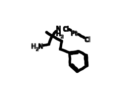 CC(N)(CN)CCc1ccccc1.[Cl][Pt][Cl]